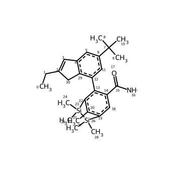 CCC1=Cc2cc(C(C)(C)C)cc(-c3c(C([NH])=O)cc4c(C)c3[Si](C)(C)[Si]4(C)C)c2C1